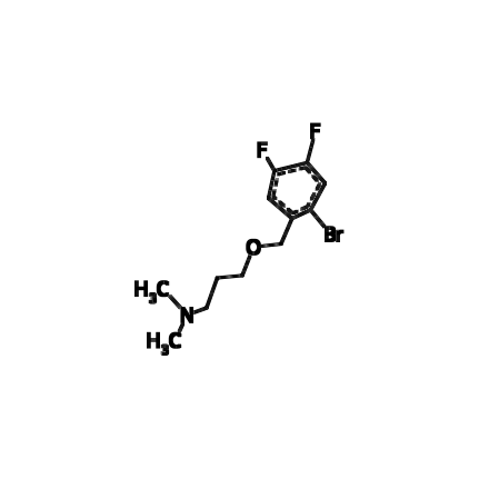 CN(C)CCCOCc1cc(F)c(F)cc1Br